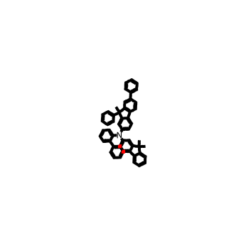 CC1(C)c2ccccc2-c2ccc(N(c3ccc4c(c3)C(C)(c3ccccc3)c3cc(-c5ccccc5)ccc3-4)c3ccccc3-c3ccccc3)cc21